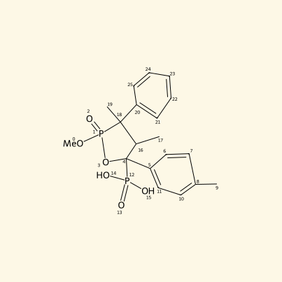 COP1(=O)OC(c2ccc(C)cc2)(P(=O)(O)O)C(C)C1(C)c1ccccc1